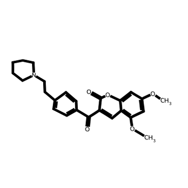 COc1cc(OC)c2cc(C(=O)c3ccc(CCN4CCCCC4)cc3)c(=O)oc2c1